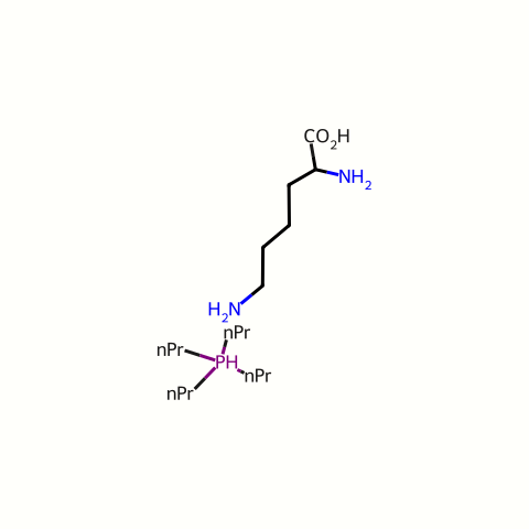 CCC[PH](CCC)(CCC)CCC.NCCCCC(N)C(=O)O